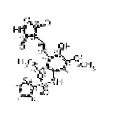 COc1cc(NS(=O)(=O)c2cccs2)c(SC)c(/C=C/n2c(=O)[nH]oc2=O)c1O